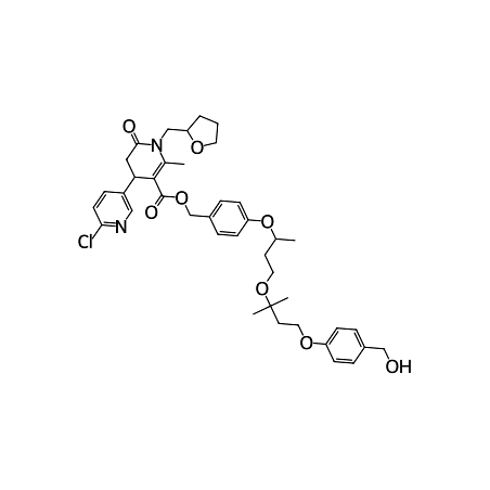 CC1=C(C(=O)OCc2ccc(OC(C)CCOC(C)(C)CCOc3ccc(CO)cc3)cc2)C(c2ccc(Cl)nc2)CC(=O)N1CC1CCCO1